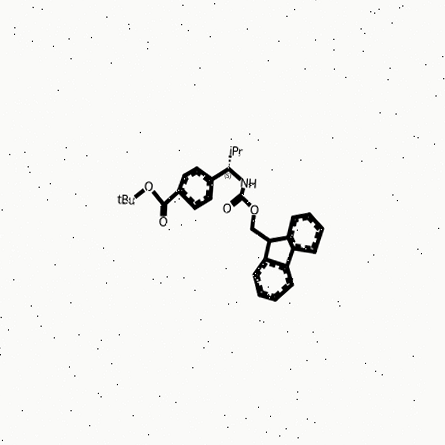 CC(C)[C@H](NC(=O)OCC1c2ccccc2-c2ccccc21)c1ccc(C(=O)OC(C)(C)C)cc1